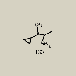 C[C@@H](N)C(O)C1CC1.Cl